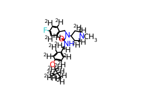 [2H]c1c([2H])c(CN(C(=O)NC([2H])([2H])c2c([2H])c([2H])c(OC([2H])([2H])C([2H])(C([2H])([2H])[2H])C([2H])([2H])[2H])c([2H])c2[2H])C2CC([2H])([2H])N(C)C([2H])([2H])C2)c([2H])c([2H])c1F